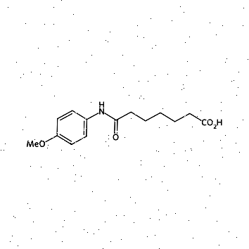 COc1ccc(NC(=O)CCCCCC(=O)O)cc1